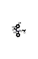 COc1ccc2c(c1)NC(=O)/C2=C1\Nc2ccccc2\C1=N/OCC(C)=O